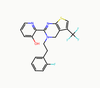 Oc1cccnc1C1=Nc2scc(C(F)(F)F)c2CN1CCc1ccccc1F